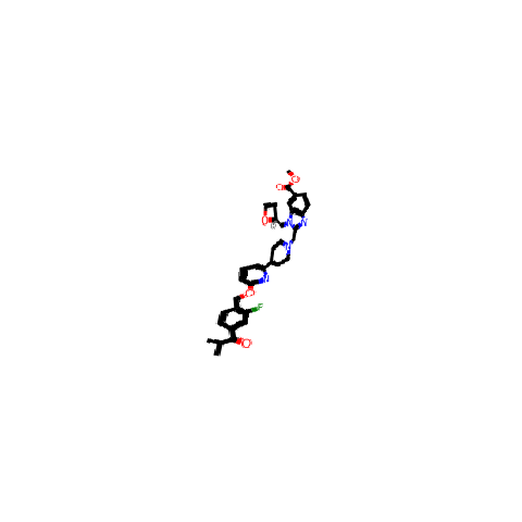 COC(=O)c1ccc2nc(CN3CCC(c4cccc(OCc5ccc(C(=O)C(C)C)cc5F)n4)CC3)n(C[C@@H]3CCO3)c2c1